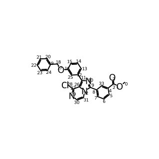 COC(=O)c1cccc(-c2nc(-c3cccc(OCc4ccccc4)c3)c3c(Cl)nccn23)c1